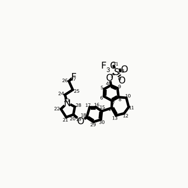 O=S(=O)(Oc1ccc2c(c1)CCCC=C2c1ccc(OC2CCN(CCCF)C2)cc1)C(F)(F)F